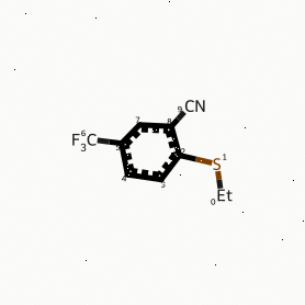 CCSc1ccc(C(F)(F)F)cc1C#N